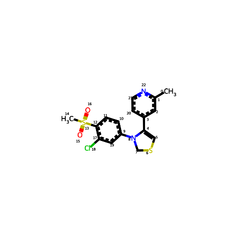 Cc1cc(C2=CSCN2c2ccc(S(C)(=O)=O)c(Cl)c2)ccn1